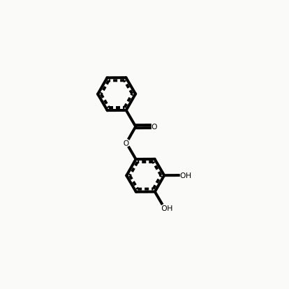 O=C(Oc1ccc(O)c(O)c1)c1ccccc1